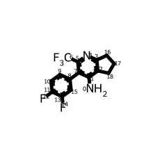 Nc1c2c(nc(C(F)(F)F)c1-c1ccc(F)c(F)c1)CCC2